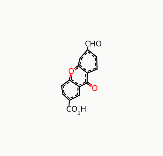 O=Cc1ccc2c(=O)c3cc(C(=O)O)ccc3oc2c1